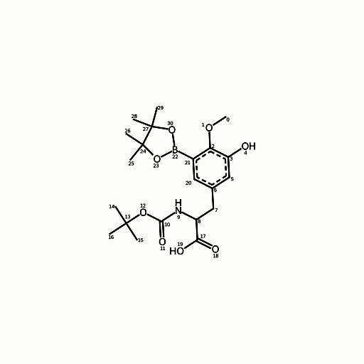 COc1c(O)cc(CC(NC(=O)OC(C)(C)C)C(=O)O)cc1B1OC(C)(C)C(C)(C)O1